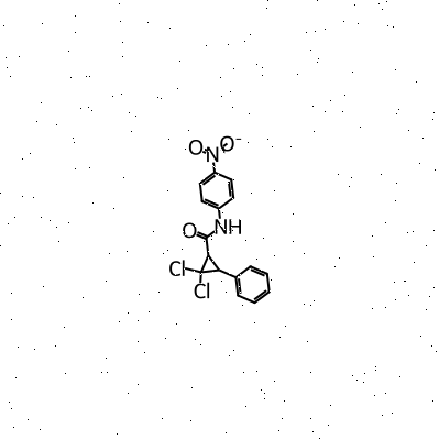 O=C(Nc1ccc([N+](=O)[O-])cc1)C1C(c2ccccc2)C1(Cl)Cl